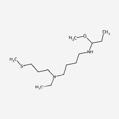 CCC(NCCCCN(CC)CCCSC)OC